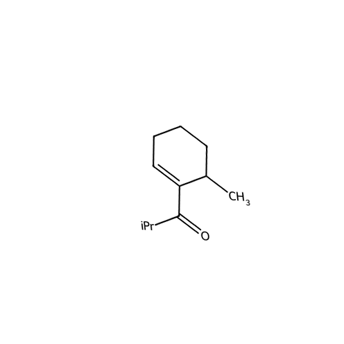 CC(C)C(=O)C1=CCCCC1C